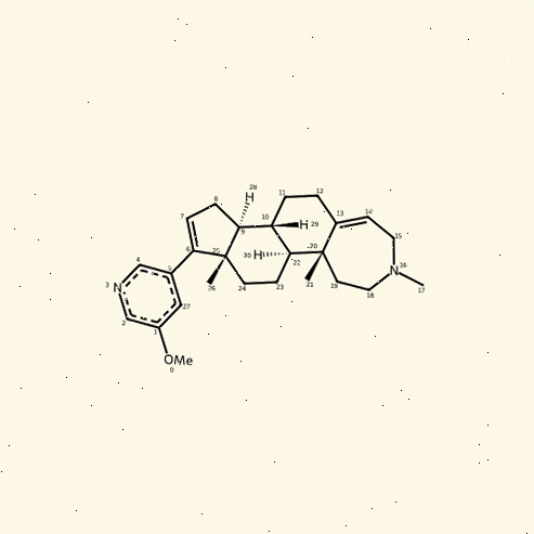 COc1cncc(C2=CC[C@H]3[C@@H]4CCC5=CCN(C)CC[C@]5(C)[C@H]4CC[C@]23C)c1